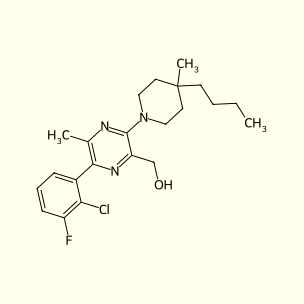 CCCCC1(C)CCN(c2nc(C)c(-c3cccc(F)c3Cl)nc2CO)CC1